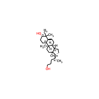 C[C@H](CCCO)[C@H]1CC[C@H]2[C@@H]3CC=C4C(C)(C)[C@@H](O)CC[C@]4(C)[C@H]3CC[C@]12C